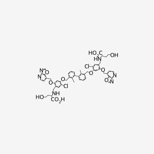 Cc1c(COc2cc(OCc3ccnc4ncoc34)c(CNC(CCO)C(=O)O)cc2Cl)cccc1-c1cccc(COc2cc(OCc3ccnc4ncoc34)c(CNC(CCO)C(=O)O)cc2Cl)c1C